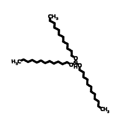 CCCCCCCCCCCCO[SiH](OCCCCCCCCCCCC)OCCCCCCCCCCCC